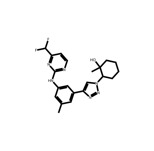 Cc1cc(Nc2nccc(C(F)F)n2)cc(-c2cn(C3CCCCC3(C)O)nn2)c1